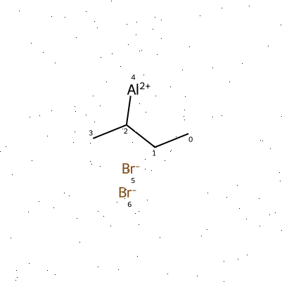 CC[CH](C)[Al+2].[Br-].[Br-]